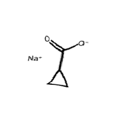 O=C([O-])C1CC1.[Na+]